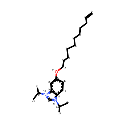 C=CCCCCCCCCCOc1ccc2c(c1)[n+](C(C)C)cn2C(C)C